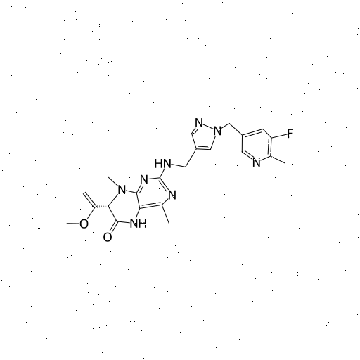 C=C(OC)[C@H]1C(=O)Nc2c(C)nc(NCc3cnn(Cc4cnc(C)c(F)c4)c3)nc2N1C